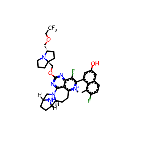 Cc1c(F)ccc2cc(O)cc(-c3c(F)c4nc(OC[C@@]56CCCN5[C@H](COCC(F)(F)F)CC6)nc5c4c([n+]3C)CC[C@@H]3[C@@H]4CC[C@H](CN53)N4)c12